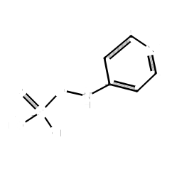 O=P(O)(O)ONc1ccncc1